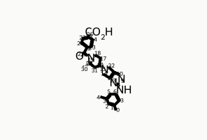 Cc1cc(C)cc(Nc2ncc3c(n2)CN([C@H]2CCN(C(=O)c4ccc(C(=O)O)cc4)[C@@H](C)C2)C3)c1